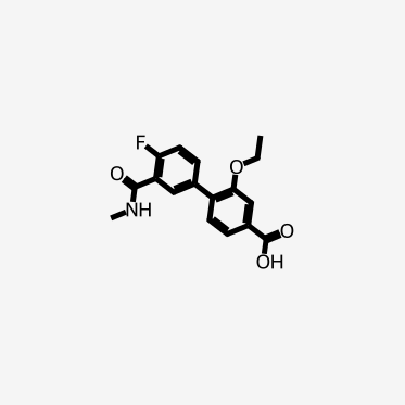 CCOc1cc(C(=O)O)ccc1-c1ccc(F)c(C(=O)NC)c1